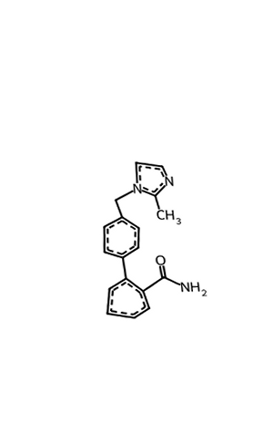 Cc1nccn1Cc1ccc(-c2ccccc2C(N)=O)cc1